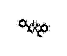 C=CC(O[PH](=O)OC(C=C)c1ccccc1)c1ccccc1